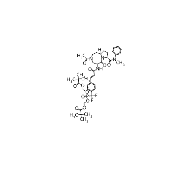 CC(=O)N1CC[C@H]2CC[C@@H](C(=O)N(C)c3ccccc3)N2C(=O)[C@@H](NC(=O)/C=C/c2ccc(C(F)(F)P(=O)(OCOC(=O)C(C)(C)C)OCOC(=O)C(C)(C)C)cc2)C1